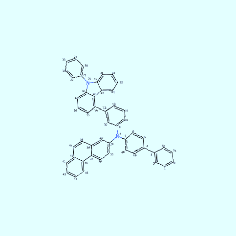 c1ccc(-c2ccc(N(c3cccc(-c4cccc5c4c4ccccc4n5-c4ccccc4)c3)c3ccc4c(ccc5ccccc54)c3)cc2)cc1